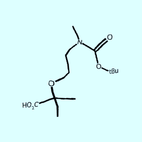 CN(CCOC(C)(C)C(=O)O)C(=O)OC(C)(C)C